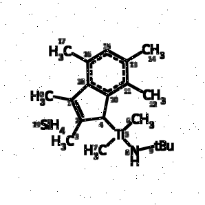 CC1=C(C)[CH]([Ti]([CH3])([CH3])[NH]C(C)(C)C)c2c(C)c(C)cc(C)c21.[SiH4]